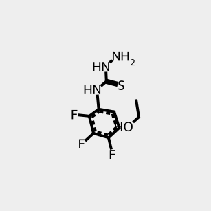 CCO.NNC(=S)Nc1ccc(F)c(F)c1F